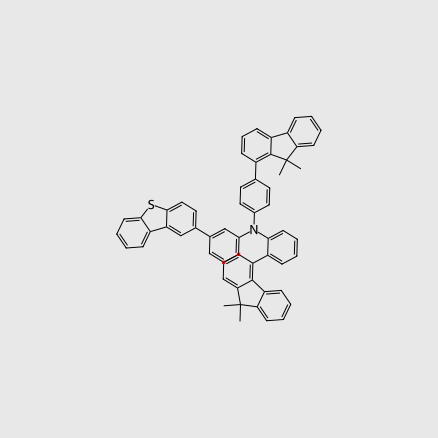 CC1(C)c2ccccc2-c2c(-c3ccccc3N(c3ccc(-c4cccc5c4C(C)(C)c4ccccc4-5)cc3)c3cccc(-c4ccc5sc6ccccc6c5c4)c3)cccc21